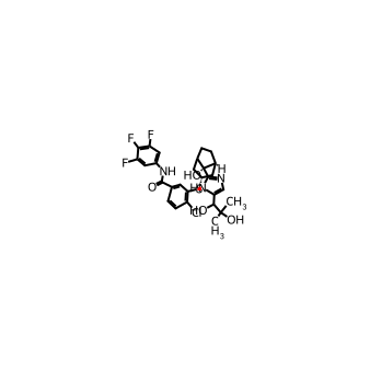 CC(C)(O)C(O)c1cnc([C@@]2(O)C3CC[C@H]2C[C@H](Sc2cc(C(=O)Nc4cc(F)c(F)c(F)c4)ccc2Cl)C3)[nH]1